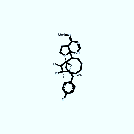 CN/N=C1/N=CNC2(C3CCCCCCC3)C1CCN2[C@@H]1O[C@H]([C@H](O)c2ccc(Cl)cc2)[C@@](C)(O)[C@H]1O